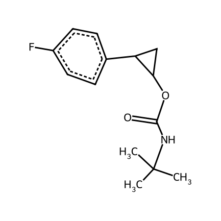 CC(C)(C)NC(=O)OC1CC1c1ccc(F)cc1